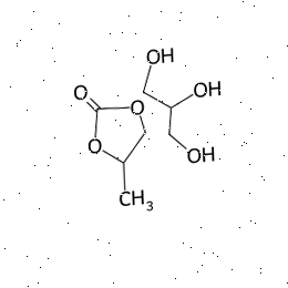 CC1COC(=O)O1.OCC(O)CO